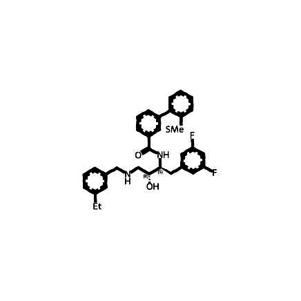 CCc1cccc(CNC[C@@H](O)[C@H](Cc2cc(F)cc(F)c2)NC(=O)c2cccc(-c3ccccc3SC)c2)c1